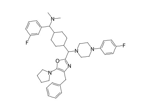 CN(C)C(c1cccc(F)c1)C1CCC(C(c2nc(Cc3ccccc3)c(N3CCCC3)o2)N2CCN(c3ccc(F)cc3)CC2)CC1